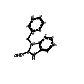 O=CC1Nc2cncnc2N1Cc1cccnc1